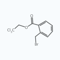 O=C(OCC(Cl)(Cl)Cl)c1ccccc1CBr